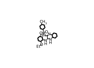 CCOc1ccccc1NC1Nc2ccccc2N=C1NS(=O)(=O)c1ccc(C)cc1